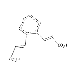 O=C(O)/C=C/c1ccccc1/C=C/C(=O)O